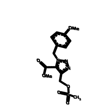 COC(=O)c1c(COS(C)(=O)=O)nnn1Cc1ccc(OC)cc1